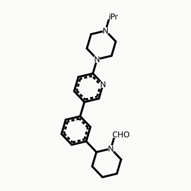 CC(C)N1CCN(c2ccc(-c3cccc(C4CCCCN4C=O)c3)cn2)CC1